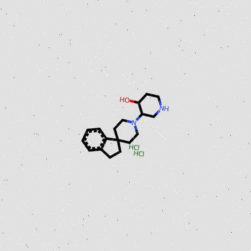 Cl.Cl.OC1CCNCC1N1CCC2(CCc3ccccc32)CC1